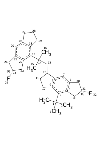 CC(C)(C)c1c2c(cc3c1CCC3CC(C)(C)c1c3c(cc4c1C[C@H](F)C4)CCC3)C[C@H](F)C2